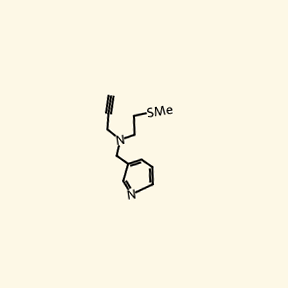 C#CCN(CCSC)Cc1cccnc1